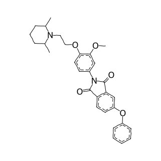 COc1cc(N2C(=O)c3ccc(Oc4ccccc4)cc3C2=O)ccc1OCCN1C(C)CCCC1C